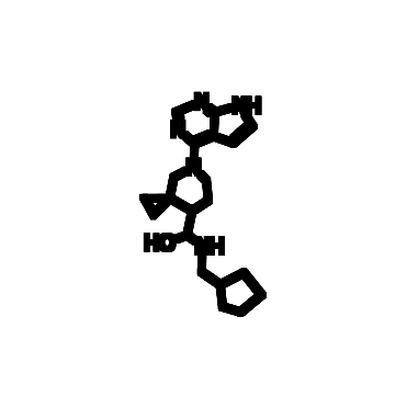 OC(NCC1CCCC1)C1CCN(c2ncnc3[nH]ccc23)CC12CC2